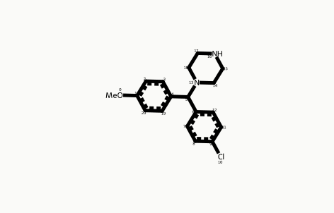 COc1ccc(C(c2ccc(Cl)cc2)N2CCNCC2)cc1